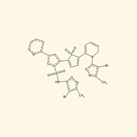 Cc1noc(NS(=O)(=O)c2sc(-c3ccccn3)cc2C2=CC=C(C3=CC=CCN3c3onc(C)c3Br)S2(=O)=O)c1Br